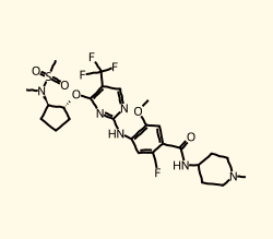 COc1cc(C(=O)NC2CCN(C)CC2)c(F)cc1Nc1ncc(C(F)(F)F)c(O[C@@H]2CCC[C@H]2N(C)S(C)(=O)=O)n1